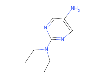 CCN(CC)c1ncc(N)cn1